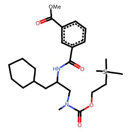 COC(=O)c1cccc(C(=O)NC(CC2CCCCC2)CN(C)C(=O)OCC[Si](C)(C)C)c1